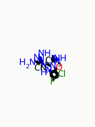 CC(Nc1nc(N)nc(N)c1C#N)c1nc2cc(F)cc(Cl)c2c(=O)n1-c1cc[nH]n1